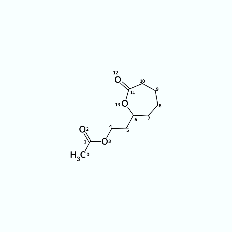 CC(=O)OCCC1CCCCC(=O)O1